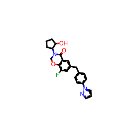 O=C1c2cc(Cc3ccc(-n4cccn4)cc3)cc(F)c2OCN1C1CCCC1O